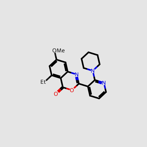 CCc1cc(OC)cc2nc(-c3cccnc3N3CCCCC3)oc(=O)c12